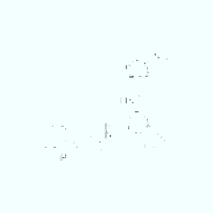 CC(C)C1C(C)CCCC1OCC(=O)NCc1cc(NCc2cc([N+](=O)[O-])ccc2O)cc2c1OCOC2